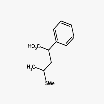 CSC(C)CC(C(=O)O)c1ccccc1